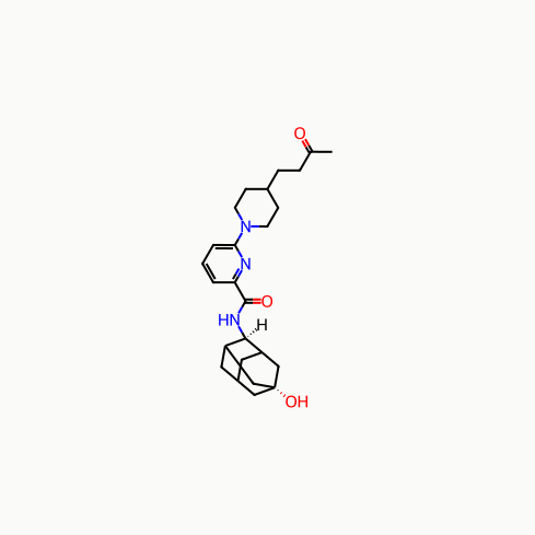 CC(=O)CCC1CCN(c2cccc(C(=O)N[C@H]3C4CC5CC3C[C@](O)(C5)C4)n2)CC1